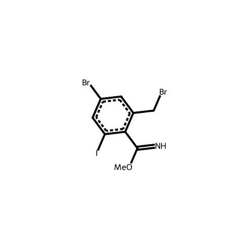 COC(=N)c1c(I)cc(Br)cc1CBr